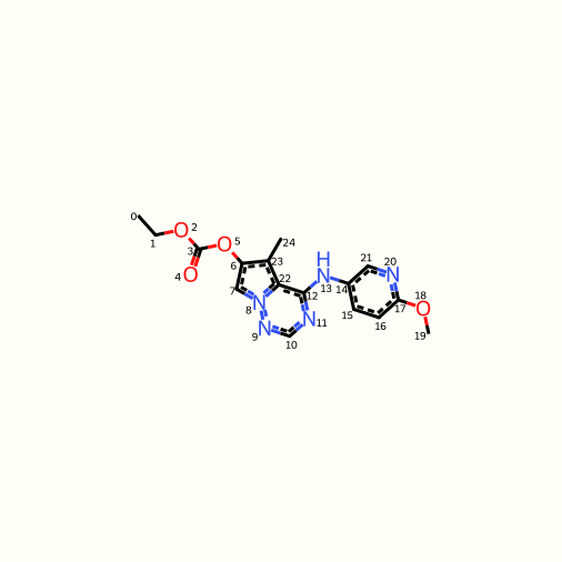 CCOC(=O)Oc1cn2ncnc(Nc3ccc(OC)nc3)c2c1C